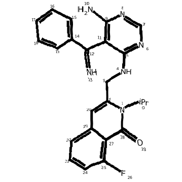 CC(C)n1c(CNc2ncnc(N)c2C(=N)c2ccccc2)cc2cccc(F)c2c1=O